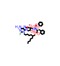 C#CC(COP(=O)(N[C@@H](Cc1ccccc1)C(=O)OCC(CCCCC)CCCCC)Oc1ccccc1)(OC)[C@@H](O)Cn1cnc2c(N)nc(F)nc21